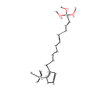 CO[Si](CCCCCCCCCCC1=[C]([Pt]([CH3])([CH3])[CH3])CC=C1)(OC)OC